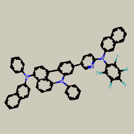 Fc1c(F)c(F)c(N(c2ccc3ccccc3c2)c2ccc(-c3ccc4c(c3)N(c3ccccc3)c3cccc5c(N(c6ccccc6)c6ccc7ccccc7c6)ccc-4c35)cn2)c(F)c1F